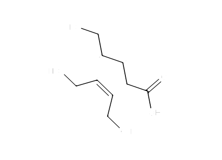 CC/C=C\CC.CCCCCC(=O)O